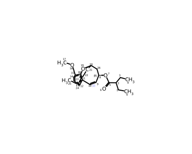 CCC(CC)C(=O)O[C@H]1/C=C\c2c3ccc(OC)c2OC(CCCN3C)C1